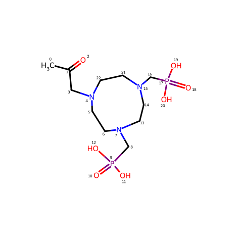 CC(=O)CN1CCN(CP(=O)(O)O)CCN(CP(=O)(O)O)CC1